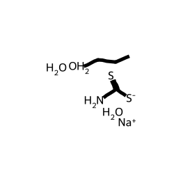 CCCC.NC(=S)[S-].O.O.O.[Na+]